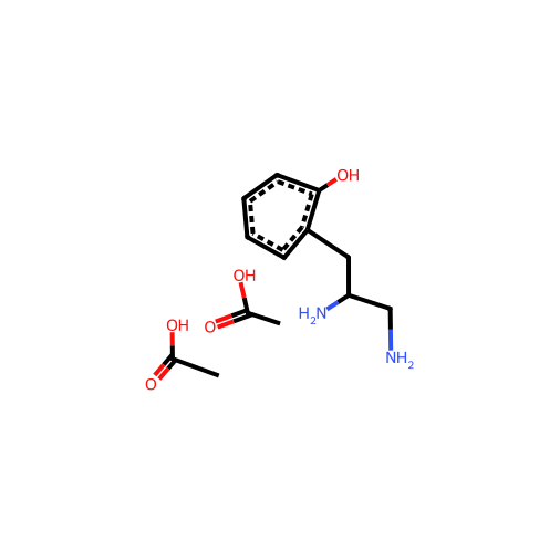 CC(=O)O.CC(=O)O.NCC(N)Cc1ccccc1O